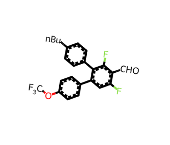 CCCCc1ccc(-c2c(-c3ccc(OC(F)(F)F)cc3)cc(F)c(C=O)c2F)cc1